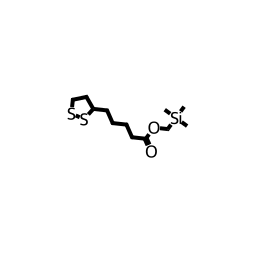 C[Si](C)(C)COC(=O)CCCCC1CCSS1